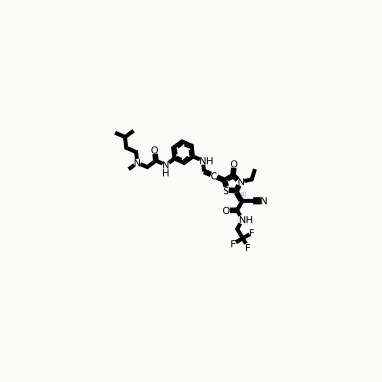 CCn1c(=O)c(=C=CNc2cccc(NC(=O)CN(C)CCC(C)C)c2)s/c1=C(/C#N)C(=O)NCC(F)(F)F